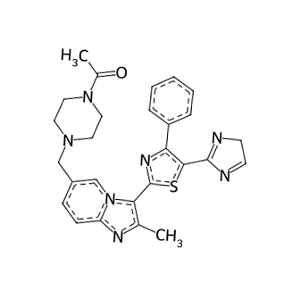 CC(=O)N1CCN(Cc2ccc3nc(C)c(-c4nc(-c5ccccc5)c(C5=NCC=N5)s4)n3c2)CC1